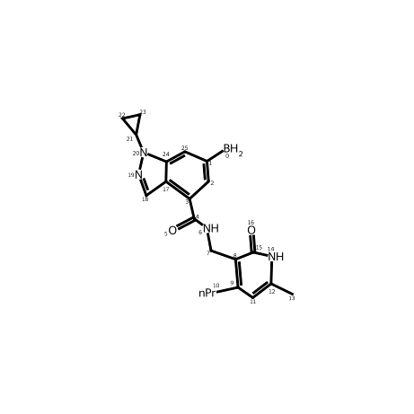 Bc1cc(C(=O)NCc2c(CCC)cc(C)[nH]c2=O)c2cnn(C3CC3)c2c1